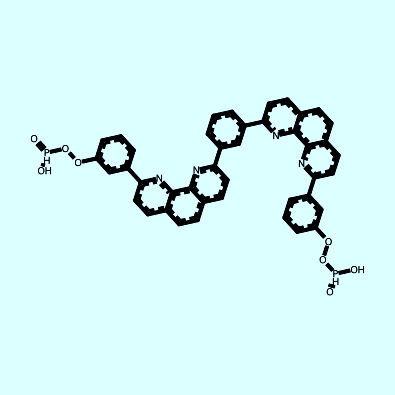 O=[PH](O)OOc1cccc(-c2ccc3ccc4ccc(-c5cccc(-c6ccc7ccc8ccc(-c9cccc(OO[PH](=O)O)c9)nc8c7n6)c5)nc4c3n2)c1